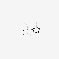 CCC(c1ncc[nH]1)[Si](Cl)(Cl)Cl